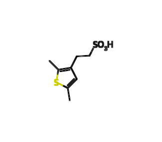 Cc1cc(CCS(=O)(=O)O)c(C)s1